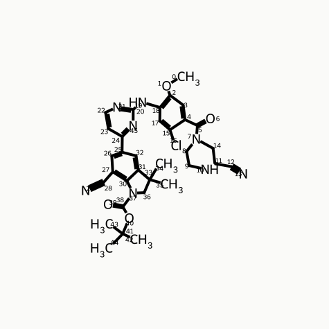 COc1cc(C(=O)N2CCNC(C#N)C2)c(Cl)cc1Nc1nccc(-c2cc(C#N)c3c(c2)C(C)(C)CN3C(=O)OC(C)(C)C)n1